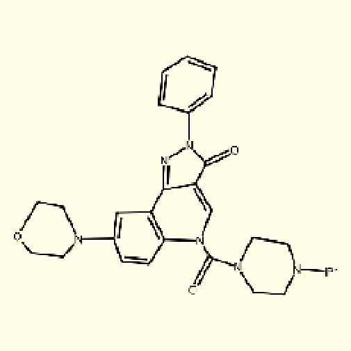 CC(C)N1CCN(C(=O)n2cc3c(=O)n(-c4ccccc4)nc-3c3cc(N4CCOCC4)ccc32)CC1